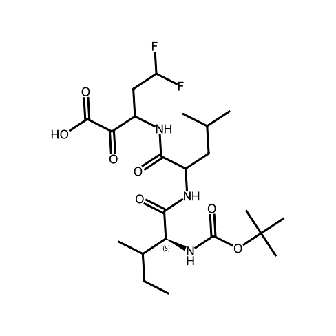 CCC(C)[C@H](NC(=O)OC(C)(C)C)C(=O)NC(CC(C)C)C(=O)NC(CC(F)F)C(=O)C(=O)O